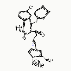 CNc1ccc(/C=C/C(=O)c2c(Cc3ccccc3)c3cc(Cl)ccc3[nH]c2=O)cc1C=N